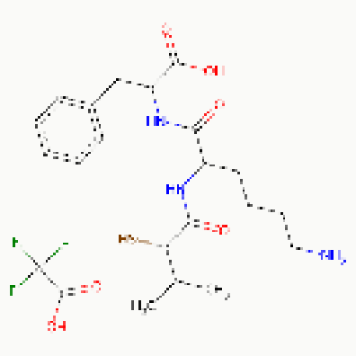 CC(C)[C@H](S)C(=O)NC(CCCCN)C(=O)NC(Cc1ccccc1)C(=O)O.O=C(O)C(F)(F)F